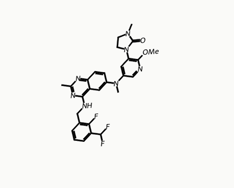 COc1ncc(N(C)c2ccc3nc(C)nc(NCc4cccc(C(F)F)c4F)c3c2)cc1N1CCN(C)C1=O